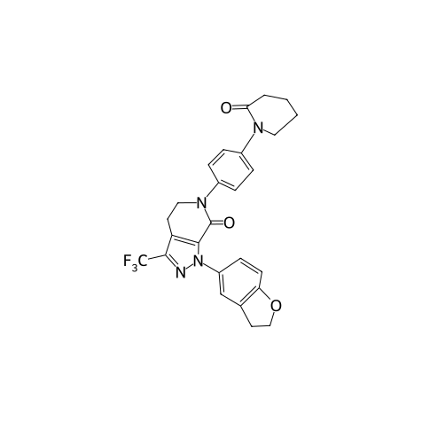 O=C1CCCCN1c1ccc(N2CCc3c(C(F)(F)F)nn(-c4ccc5c(c4)CCO5)c3C2=O)cc1